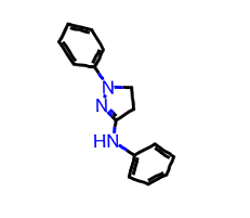 c1ccc(NC2=NN(c3ccccc3)CC2)cc1